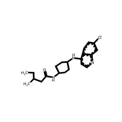 CCC(C)CC(=O)NC1CCC(Nc2ccnc3cc(Cl)ccc23)CC1